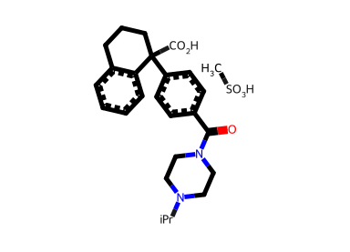 CC(C)N1CCN(C(=O)c2ccc(C3(C(=O)O)CCCc4ccccc43)cc2)CC1.CS(=O)(=O)O